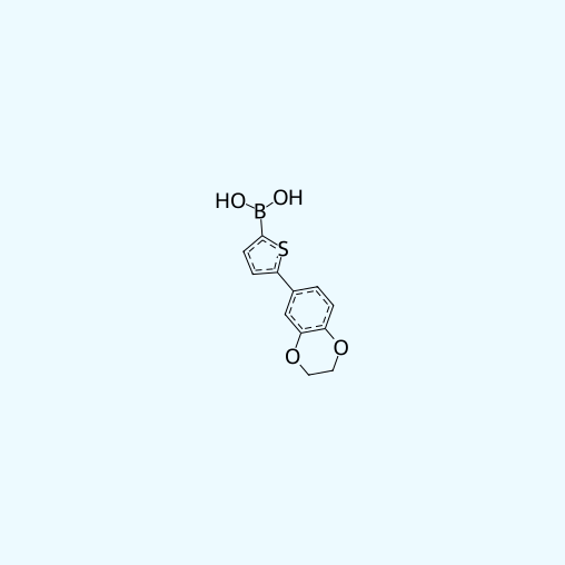 OB(O)c1ccc(-c2ccc3c(c2)OCCO3)s1